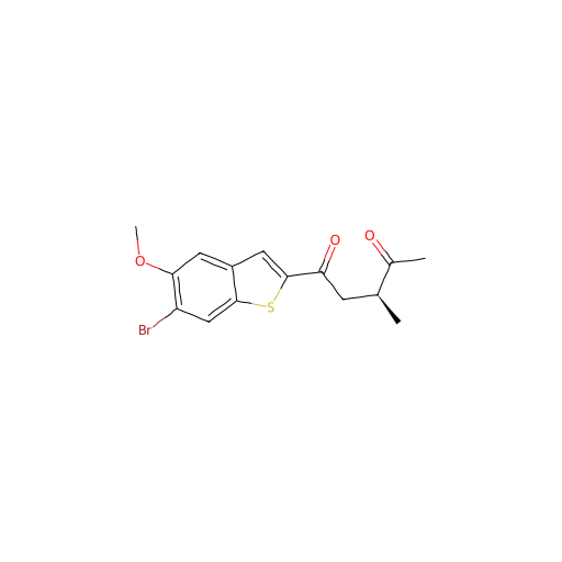 COc1cc2cc(C(=O)C[C@H](C)C(C)=O)sc2cc1Br